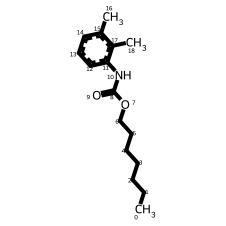 CCCCCCCOC(=O)Nc1cccc(C)c1C